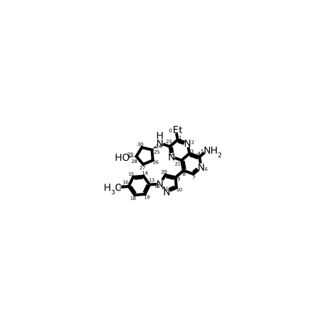 CCc1nc2c(N)ncc(-c3cnn(-c4ccc(C)cc4)c3)c2nc1N[C@@H]1CC[C@H](O)C1